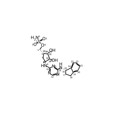 NS(=O)(=O)OC[C@H]1C[C@@H](Nc2ncnc(N[C@H]3CCc4ccccc43)n2)[C@H](O)[C@@H]1O